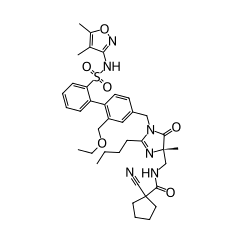 CCCCC1=N[C@@](C)(CNC(=O)C2(C#N)CCCC2)C(=O)N1Cc1ccc(-c2ccccc2S(=O)(=O)Nc2noc(C)c2C)c(COCC)c1